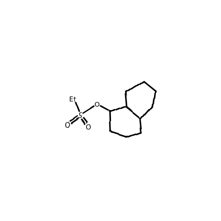 CCS(=O)(=O)OC1CCCC2CCCCC21